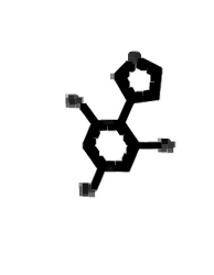 CC(C)c1cc(C(C)C)c(-c2[c]occ2)c(C(C)C)c1